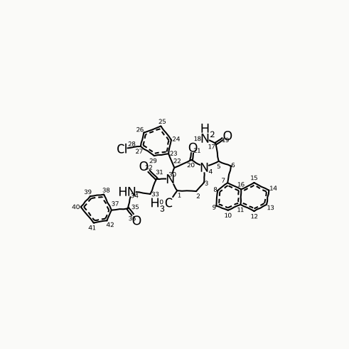 CC1CCN(C(Cc2cccc3ccccc23)C(N)=O)C(=O)C(c2cccc(Cl)c2)N1C(=O)CNC(=O)c1ccccc1